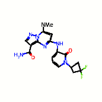 CNc1cc(Nc2cccn(C3CC(F)(F)C3)c2=O)nc2c(C(N)=O)cnn12